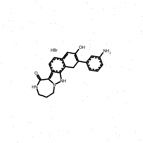 Br.Nc1cccc(C2=C(O)C=c3ccc4c(c3C2)NN2CCCNC(=O)C=42)c1